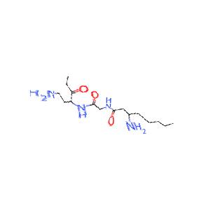 CCCCCC(N)CC(=O)NCC(=O)NC(CCN)C(=O)CC